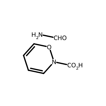 NC=O.O=C(O)N1C=CC=CO1